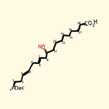 CCCCCCCCCCCCC=CCC=CCC(O)CCCCCCCCC(=O)O